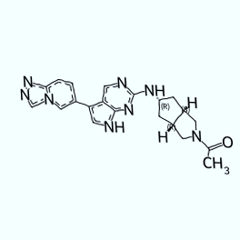 CC(=O)N1C[C@H]2C[C@@H](Nc3ncc4c(-c5ccc6nncn6c5)c[nH]c4n3)C[C@H]2C1